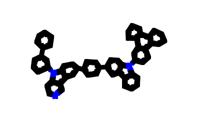 c1ccc(-c2cccc(-n3c4ccncc4c4cc(-c5ccc(-c6ccc7c(c6)c6ccccc6n7-c6ccc7c8ccccc8c8ccccc8c7c6)cc5)ccc43)c2)cc1